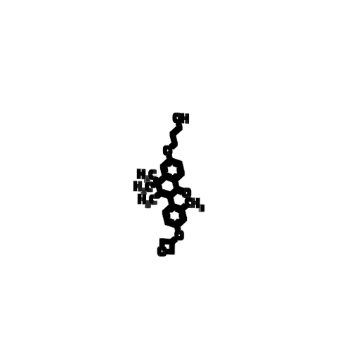 CC1=C(c2ccc(OC3COC3)cc2C)C(=O)c2ccc(OCCCO)cc2C1(C)C